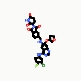 O=C1CCC(N2C(=O)c3ccc(CNc4cc5c(Nc6ccc(F)c(Cl)c6)ncnc5cc4O[C@H]4CCOC4)cc3C2=O)C(=O)N1